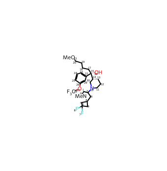 CNCC(CC1CC(F)(F)C1)N1CCC[C@@H]([C@](O)(CCCCOC)c2cccc(OC(F)(F)F)c2)C1